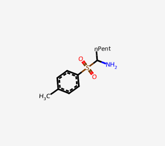 CCCCCC(N)S(=O)(=O)c1ccc(C)cc1